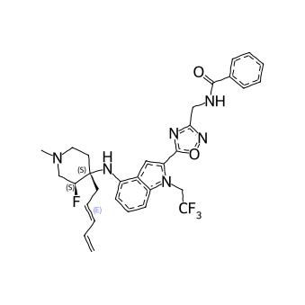 C=C/C=C/C[C@]1(Nc2cccc3c2cc(-c2nc(CNC(=O)c4ccccc4)no2)n3CC(F)(F)F)CCN(C)C[C@@H]1F